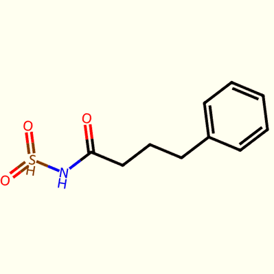 O=C(CCCc1ccccc1)N[SH](=O)=O